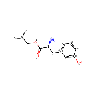 CC(C)COC(=O)[C@@H](N)Cc1cccc(O)c1